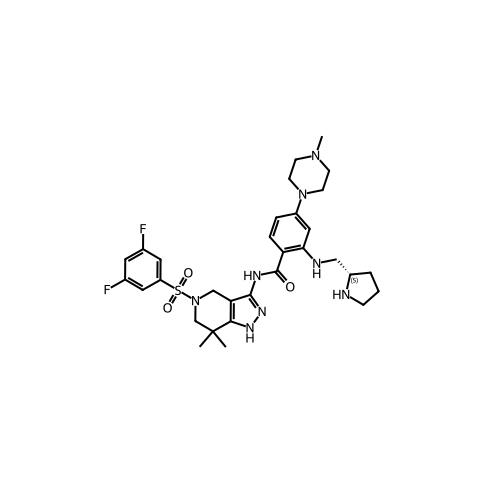 CN1CCN(c2ccc(C(=O)Nc3n[nH]c4c3CN(S(=O)(=O)c3cc(F)cc(F)c3)CC4(C)C)c(NC[C@@H]3CCCN3)c2)CC1